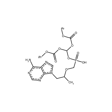 CC(C)OC(=O)OC(OC(=O)OC(C)C)OP(=O)(O)COC(C)Cn1cnc2c(N)ncnc21